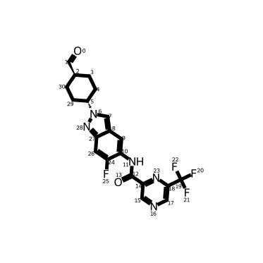 O=C[C@H]1CC[C@H](n2cc3cc(NC(=O)c4cncc(C(F)(F)F)n4)c(F)cc3n2)CC1